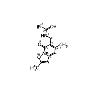 Cc1cc2cc(C)c(CNC(=O)C(C)C)c(=O)n2o1